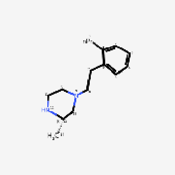 CCCc1ccccc1CCN1CCN[C@@H](C)C1